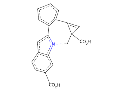 O=C(O)c1ccc2cc3n(c2c1)CC1(C(=O)O)C=C1c1ccccc1-3